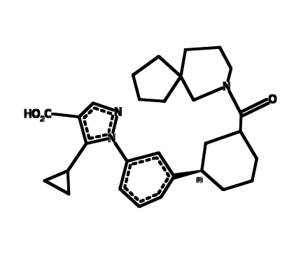 O=C(O)c1cnn(-c2cccc([C@@H]3CCCC(C(=O)N4CCCC5(CCCC5)C4)C3)c2)c1C1CC1